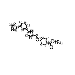 CC(C)(C)OC(=O)N1CCC(OCC2=NCC(c3cccc(-c4cnco4)c3)=N2)CC1